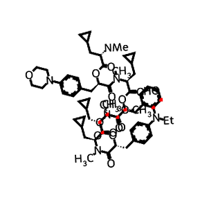 CCN(CCO)c1ccc(C[C@@H](OC(=O)[C@H](CC2CC2)N(C)C(=O)[C@@H](C)OC(=O)[C@H](CC2CC2)N(C)C(=O)[C@@H](Cc2ccc(N3CCOCC3)cc2)OC(=O)[C@H](CC2CC2)NC)C(=O)N(C)[C@@H](CC2CC2)C(=O)O[C@H](C)C(=O)OCc2ccccc2)cc1